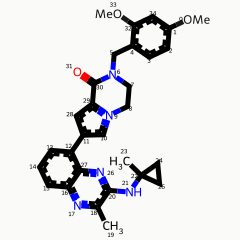 COc1ccc(CN2CCn3cc(-c4cccc5nc(C)c(NC6(C)CC6)nc45)cc3C2=O)c(OC)c1